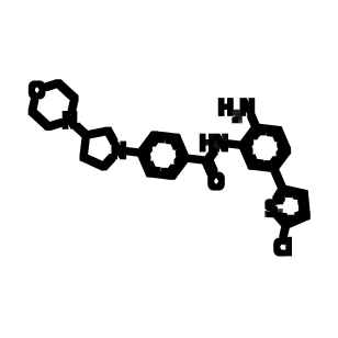 Nc1ccc(-c2ccc(Cl)s2)cc1NC(=O)c1ccc(N2CCC(N3CCOCC3)C2)cc1